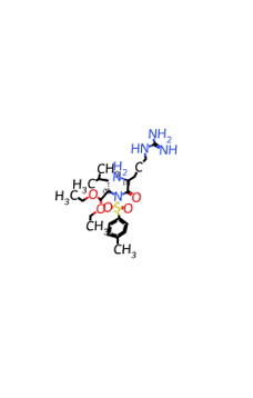 CCOC(OCC)[C@H](CC(C)C)N(C(=O)[C@@H](N)CCCNC(=N)N)S(=O)(=O)c1ccc(C)cc1